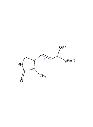 CCCCCC(/C=C/C1CNC(=O)N1C)OC(C)=O